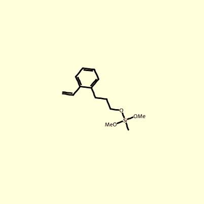 C=Cc1ccccc1CCCO[Si](C)(OC)OC